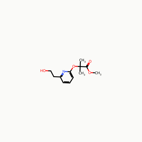 COC(=O)C(C)(C)Oc1cccc(CCO)n1